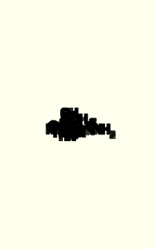 Nc1nc(-c2cn([C@H]3[C@@H](O)[C@@](Cl)(CO)O[C@H](Sc4cccnc4)[C@@]3(O)c3ncc[nH]3)nn2)cs1